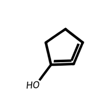 OC1=C=CCC1